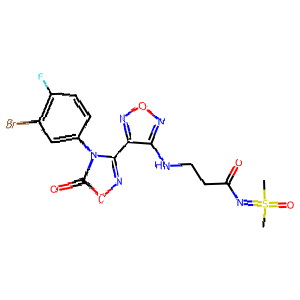 CS(C)(=O)=NC(=O)CCNc1nonc1-c1noc(=O)n1-c1ccc(F)c(Br)c1